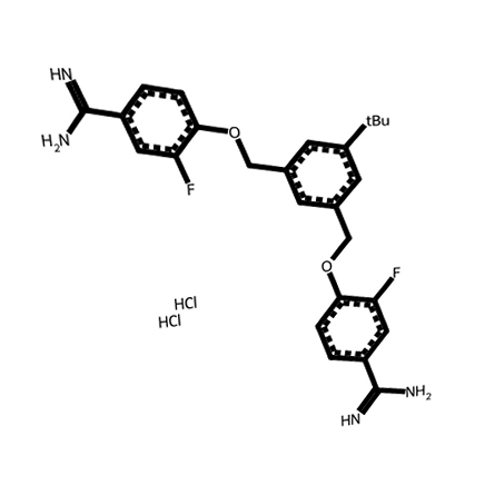 CC(C)(C)c1cc(COc2ccc(C(=N)N)cc2F)cc(COc2ccc(C(=N)N)cc2F)c1.Cl.Cl